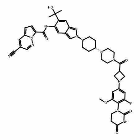 COc1cc(N2CC(C(=O)N3CCN([C@H]4CC[C@H](n5cc6cc(NC(=O)c7ccc8cc(C#N)cnn78)c(C(C)(C)O)cc6n5)CC4)CC3)C2)cc(F)c1N1CCC(=O)NC1=O